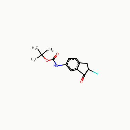 CC(C)(C)OC(=O)Nc1ccc2c(c1)C(=O)C(F)C2